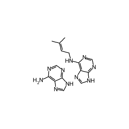 CC(C)=CCNc1ncnc2[nH]cnc12.Nc1ncnc2[nH]cnc12